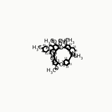 COc1ccc2cc1Oc1ccc(cc1)C[C@H]1c3cc(c(OC)cc3CCN1C)Oc1c(OC)c(OC)c(CN3CCCC(C)C3)c3c1[C@H](C2)N(C)CC3